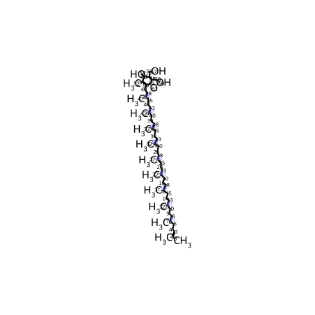 CC(C)=CCC/C(C)=C/CC/C(C)=C/CC/C(C)=C/CC/C(C)=C/CC/C(C)=C/CC/C(C)=C/CC/C(C)=C/CC/C(C)=C/CC/C(C)=C/CC1=C(C)C(O)C(CO)=C(CO)C1=O